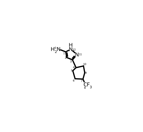 Nc1cc(C2CCC(C(F)(F)F)CC2)n[nH]1